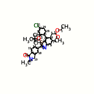 CCOC(=O)Cc1c(C)cc2nc(-c3ccc4c(c3)CN(C)C4=O)sc2c1-c1ccc(Cl)cc1OC(C)(C)C